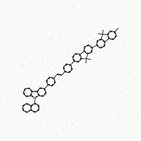 Cc1ccc2c(c1)C(C)(C)c1cc(-c3ccc4c(c3)C(C)(C)c3cc(-c5ccc(/C=C/c6ccc(-c7ccc8c(c7)c7ccccc7n8-c7cccc8ccccc78)cc6)cc5)ccc3-4)ccc1-2